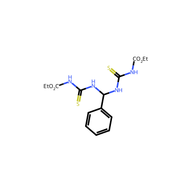 CCOC(=O)NC(=S)NC(NC(=S)NC(=O)OCC)c1ccccc1